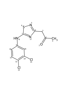 CC(=O)Cc1nsc(Nc2ccc(Cl)c(Cl)c2)n1